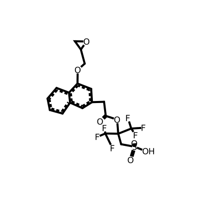 O=C(Cc1cc(OCC2CO2)c2ccccc2c1)OC(CS(=O)(=O)O)(C(F)(F)F)C(F)(F)F